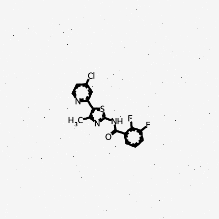 Cc1nc(NC(=O)c2cccc(F)c2F)sc1-c1cc(Cl)ccn1